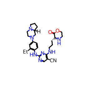 CCc1cc(N2CCN3CCC[C@@H]3C2)ccc1Nc1ncc(C#N)c(NCCC[C@H]2NCCOC2=O)n1